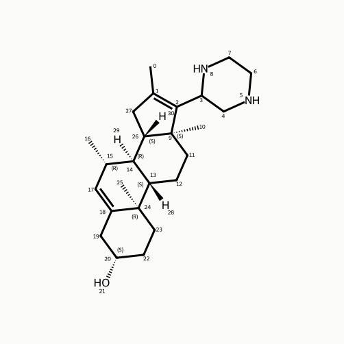 CC1=C(C2CNCCN2)[C@@]2(C)CC[C@H]3[C@@H]([C@@H](C)C=C4C[C@@H](O)CC[C@@]43C)[C@@H]2C1